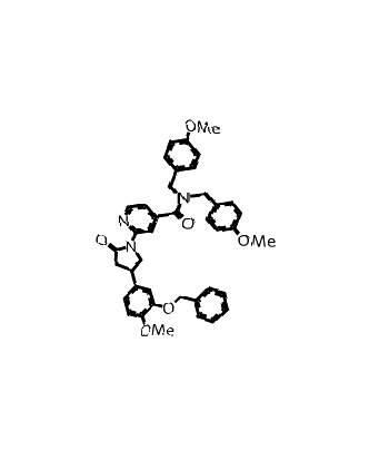 COc1ccc(CN(Cc2ccc(OC)cc2)C(=O)c2ccnc(N3CC(c4ccc(OC)c(OCc5ccccc5)c4)CC3=O)c2)cc1